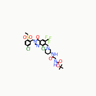 CCS(=O)(=O)c1ccc(Cl)cc1Cn1cnc2c(Cl)c(CN3CCC[C@H](NC(=O)CNC(=O)OC(C)(C)C)C3)c(C(F)(F)F)cc2c1=O